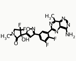 Cc1nc(-c2cc(-c3cc([C@@]4(O)C(=O)N(C)CC4(F)F)on3)cc(F)c2F)nc2c(N)ncnc12